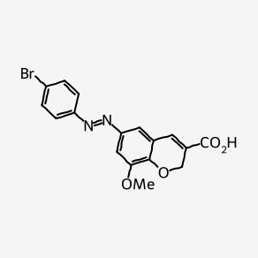 COc1cc(/N=N/c2ccc(Br)cc2)cc2c1OCC(C(=O)O)=C2